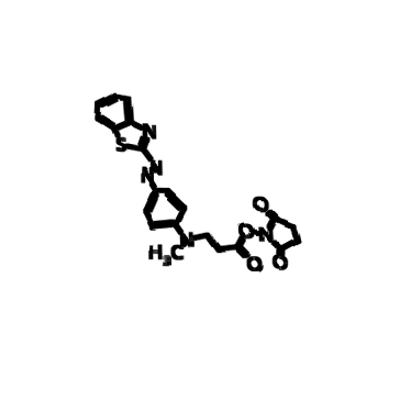 CN(CCC(=O)ON1C(=O)CCC1=O)c1ccc(N=Nc2nc3ccccc3s2)cc1